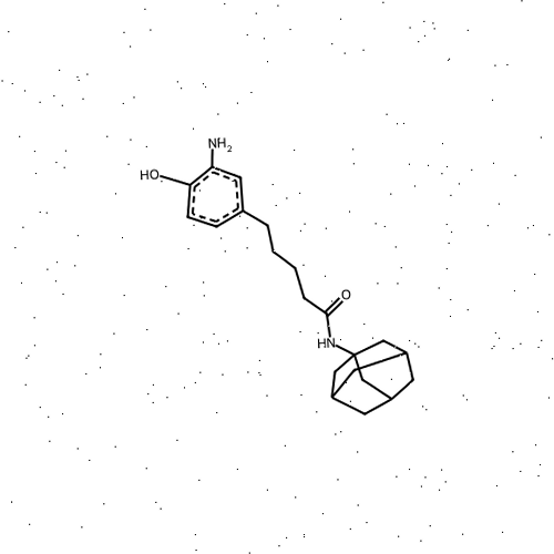 Nc1cc(CCCCC(=O)NC23CC4CC(CC(C4)C2)C3)ccc1O